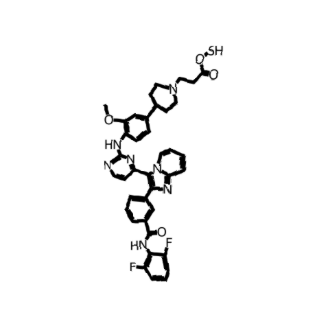 COc1cc(C2CCN(CCC(=O)OS)CC2)ccc1Nc1nccc(-c2c(-c3cccc(C(=O)Nc4c(F)cccc4F)c3)nc3ccccn23)n1